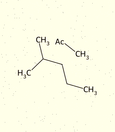 CC(C)=O.CCCC(C)C